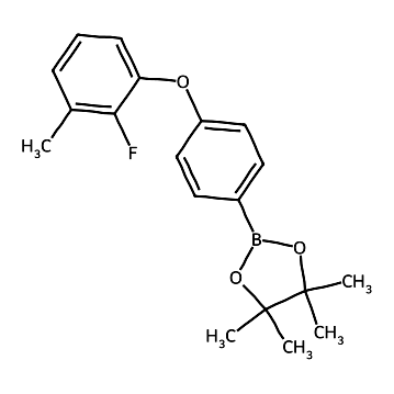 Cc1cccc(Oc2ccc(B3OC(C)(C)C(C)(C)O3)cc2)c1F